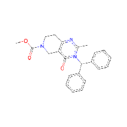 COC(=O)N1CCc2nc(C)n(C(c3ccccc3)c3ccccc3)c(=O)c2C1